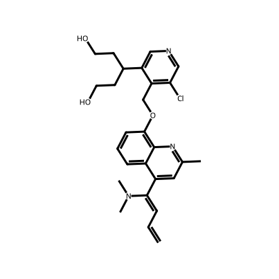 C=C/C=C(/c1cc(C)nc2c(OCc3c(Cl)cncc3C(CCO)CCO)cccc12)N(C)C